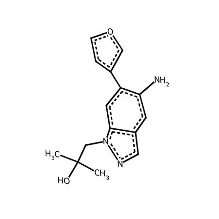 CC(C)(O)Cn1ncc2cc(N)c(-c3ccoc3)cc21